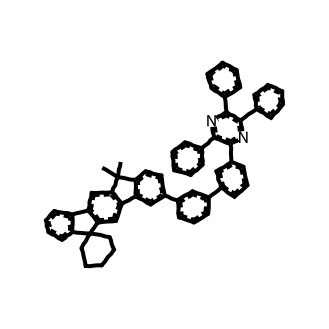 CC1(C)c2ccc(-c3cccc(-c4cccc(-c5nc(-c6ccccc6)c(-c6ccccc6)nc5-c5ccccc5)c4)c3)cc2-c2cc3c(cc21)-c1ccccc1C31CCCCC1